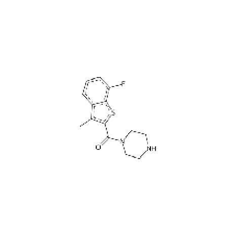 Cc1c(C(=O)N2CCNCC2)sc2c(F)cccc12